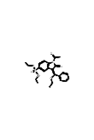 CCOC(=C1C(=O)N(C(C)=O)c2ccc(P(=O)(OCC)OCC)cc21)c1ccccc1